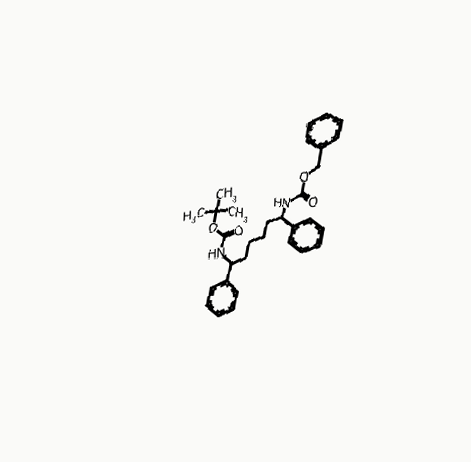 CC(C)(C)OC(=O)NC(CCCCC(NC(=O)OCc1ccccc1)c1ccccc1)c1ccccc1